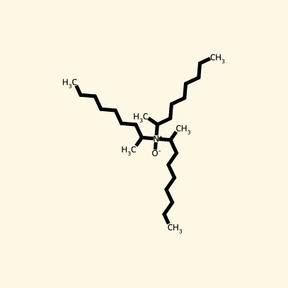 CCCCCCCC(C)[N+]([O-])(C(C)CCCCCCC)C(C)CCCCCCC